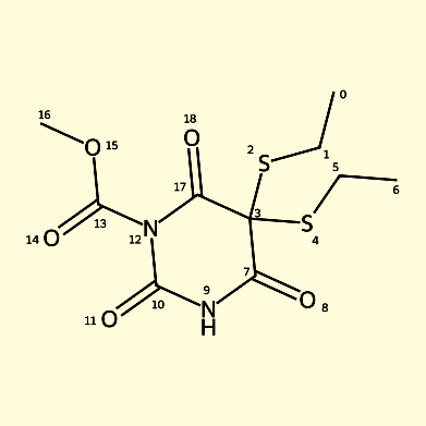 CCSC1(SCC)C(=O)NC(=O)N(C(=O)OC)C1=O